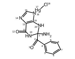 NC1(C(=O)c2ccccc2)NC(=O)c2nc[n]([Hg][Cl])c2N1